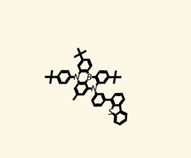 Cc1cc2c3c(c1)N(c1cccc(-c4cccc5c4sc4ccccc45)c1)c1cc(C(C)(C)C)ccc1B3c1ccc(C(C)(C)C)cc1N2c1ccc(C(C)(C)C)cc1